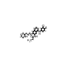 C=CC(=O)Nc1cc2c(Nc3ccc(F)c(Cl)c3)ncnc2cc1OCCCC1COCCN1